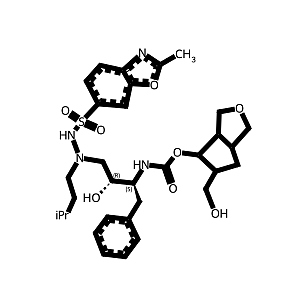 Cc1nc2ccc(S(=O)(=O)NN(CCC(C)C)C[C@@H](O)[C@H](Cc3ccccc3)NC(=O)OC3C(CO)CC4COCC43)cc2o1